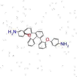 Nc1ccc(Oc2ccccc2-c2cccc(-c3ccccc3)c2-c2ccccc2Oc2ccc(N)cc2)cc1